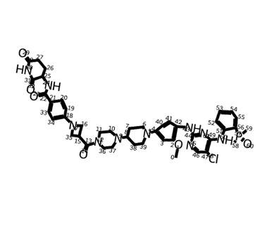 COc1cc(N2CCC(N3CCN(C(=O)C4CN(c5ccc(C(=O)NC6CCC(=O)NC6=O)cc5)C4)CC3)CC2)ccc1Nc1ncc(Cl)c(Nc2ccccc2P(C)(C)=O)n1